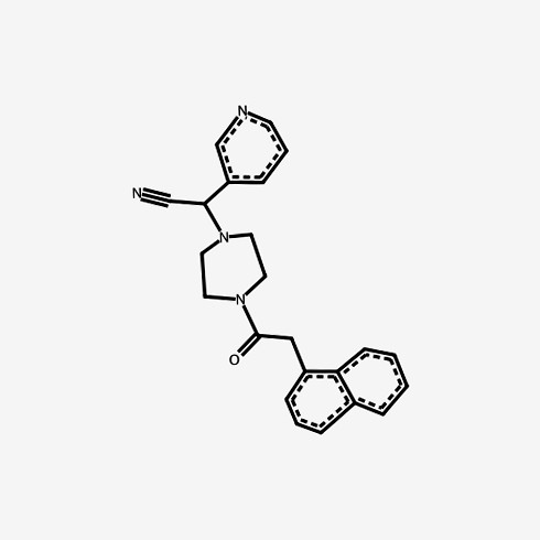 N#CC(c1cccnc1)N1CCN(C(=O)Cc2cccc3ccccc23)CC1